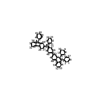 c1ccc(-c2c(-c3ccccc3)c3cc(-c4ccc(N(c5ccccc5)c5ccc6c7ccccc7n(-c7ccccc7)c6c5)cc4)ccc3c3ccccc23)cc1